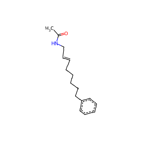 CC(=O)NC/C=C/CCCCCc1ccccc1